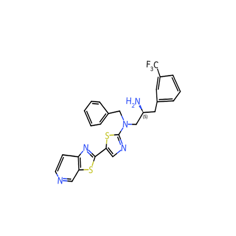 N[C@@H](Cc1cccc(C(F)(F)F)c1)CN(Cc1ccccc1)c1ncc(-c2nc3ccncc3s2)s1